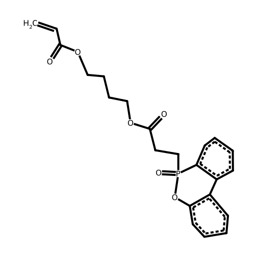 C=CC(=O)OCCCCOC(=O)CCP1(=O)Oc2ccccc2-c2ccccc21